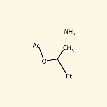 CCC(C)OC(C)=O.N